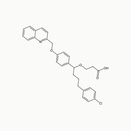 O=C(O)CCOC(CCCc1ccc(Cl)cc1)c1ccc(OCc2ccc3ccccc3n2)cc1